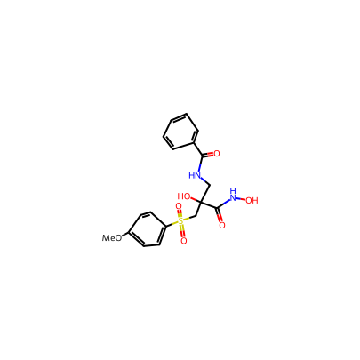 COc1ccc(S(=O)(=O)CC(O)(CNC(=O)c2ccccc2)C(=O)NO)cc1